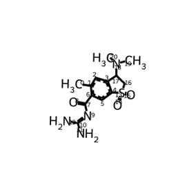 Cc1cc2c(cc1C(=O)N=C(N)N)S(=O)(=O)CC2N(C)C